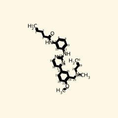 C=CCCC(=O)Nc1cccc(Nc2nccc(-c3ccc(OC)c(CN(C)CC=C)c3)n2)c1